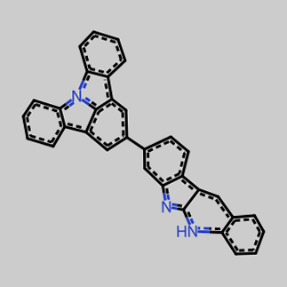 c1ccc2[nH]c3nc4cc(-c5cc6c7ccccc7n7c8ccccc8c(c5)c67)ccc4c-3cc2c1